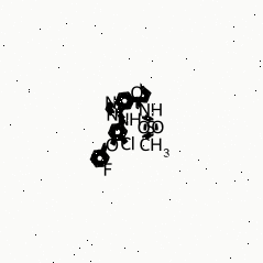 CCCS(=O)(=O)CCNCC1(c2ccc3ncnc(Nc4ccc(OCc5cccc(F)c5)c(Cl)c4)c3c2)CC=CO1